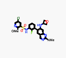 CNc1ncc2cc(-c3cccc(NS(=O)(=O)c4cc(Cl)cnc4OC)c3F)c(NC3COC3)cc2n1